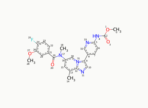 COC(=O)Nc1ccc(-c2cnc3c(C)cc(N(C)C(=O)c4ccc(F)c(OC)c4)cn23)cn1